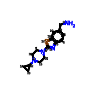 NCc1ccc2nc(N3CCN(C4CC4)CC3)sc2c1